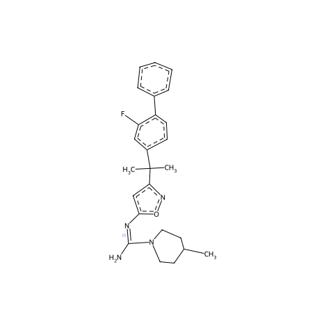 CC1CCN(/C(N)=N\c2cc(C(C)(C)c3ccc(-c4ccccc4)c(F)c3)no2)CC1